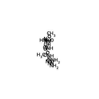 COc1cc(C(=O)N[C@@H](CCCNC(=O)c2ccc(C)cc2-c2nn[nH]n2)C(=O)O)ccc1NCc1cnc2nc(N)nc(N)c2n1